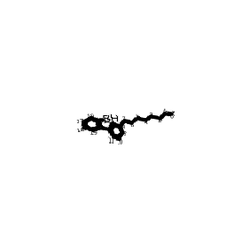 CCCCCCCCc1cccc2c1Bc1ccccc1-2